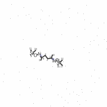 C/C(CC/C(C)=N/O[Si](C)(C)C)=N\O[Si](C)(C)C